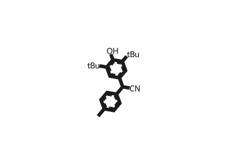 Cc1ccc(C(C#N)c2cc(C(C)(C)C)c(O)c(C(C)(C)C)c2)cc1